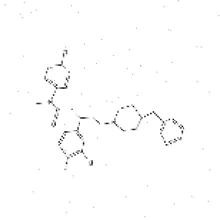 CN(C(=O)CC(CCN1CCC(Cc2ccccc2)CC1)c1ccc(Cl)c(Cl)c1)c1ccc(Cl)cc1